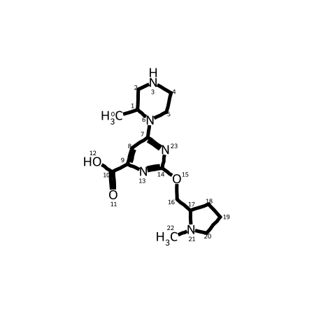 CC1CNCCN1c1cc(C(=O)O)nc(OCC2CCCN2C)n1